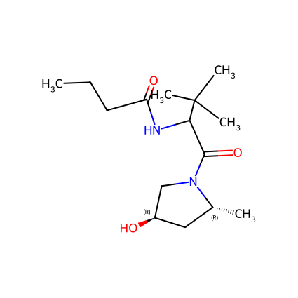 CCCC(=O)NC(C(=O)N1C[C@H](O)C[C@H]1C)C(C)(C)C